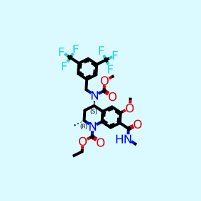 CCOC(=O)N1c2cc(C(=O)NC)c(OC)cc2[C@@H](N(Cc2cc(C(F)(F)F)cc(C(F)(F)F)c2)C(=O)OC)C[C@H]1C